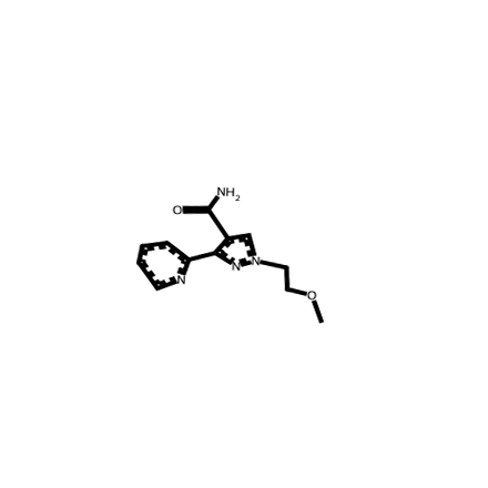 COCCn1cc(C(N)=O)c(-c2ccccn2)n1